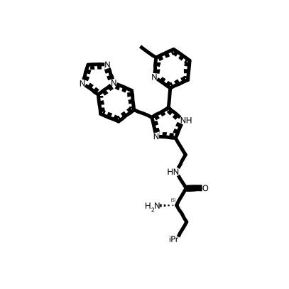 Cc1cccc(-c2[nH]c(CNC(=O)[C@@H](N)CC(C)C)nc2-c2ccc3ncnn3c2)n1